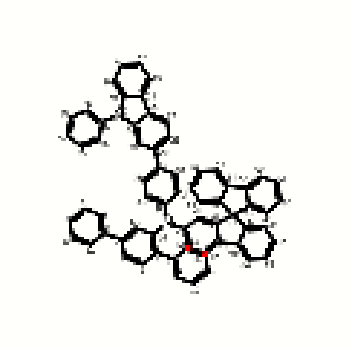 c1ccc(-c2ccc(-c3ccccc3)c(N(c3ccc(-c4ccc5c6ccccc6n(-c6ccccc6)c5c4)cc3)c3ccc4c(c3)C3(c5ccccc5-c5ccccc53)c3ccccc3-4)c2)cc1